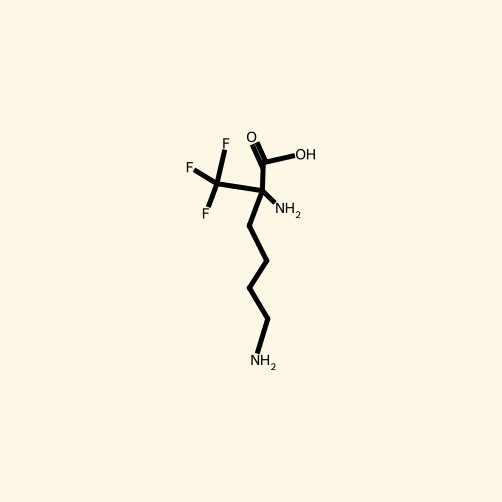 NCCCCC(N)(C(=O)O)C(F)(F)F